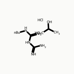 CC(O)C(=O)O.CCCCNC(=N)NC(=N)N.Cl